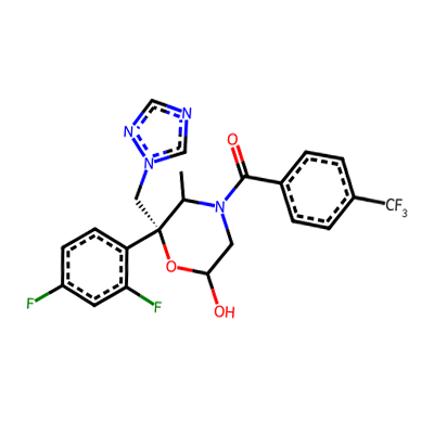 CC1N(C(=O)c2ccc(C(F)(F)F)cc2)CC(O)O[C@@]1(Cn1cncn1)c1ccc(F)cc1F